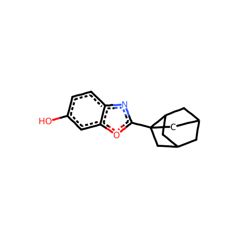 Oc1ccc2nc(C34CC5CC(CC3C5)C4)oc2c1